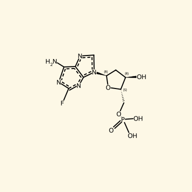 Nc1nc(F)nc2c1ncn2[C@H]1C[C@@H](O)[C@H](COP(=O)(O)O)O1